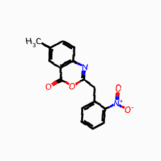 Cc1ccc2nc(Cc3ccccc3[N+](=O)[O-])oc(=O)c2c1